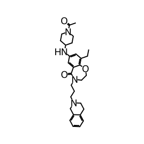 CCc1cc(NC2CCN(C(C)=O)CC2)cc2c1OCCN(CCCN1CCc3ccccc3C1)C2=O